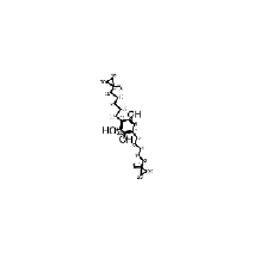 CC1(CCCCCc2cc(O)c(CCCCCC3(C)CC3)c(O)c2O)CC1